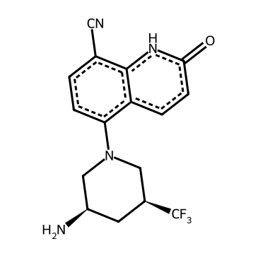 N#Cc1ccc(N2C[C@H](N)C[C@H](C(F)(F)F)C2)c2ccc(=O)[nH]c12